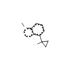 Cn1nnc2c(C3(C#N)CC3)cccc21